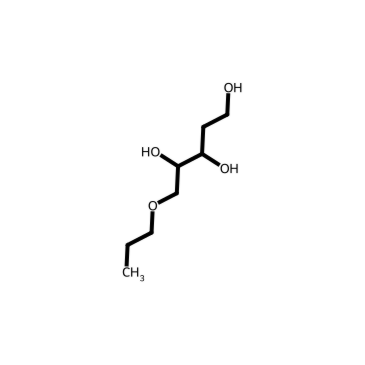 CCCOCC(O)C(O)CCO